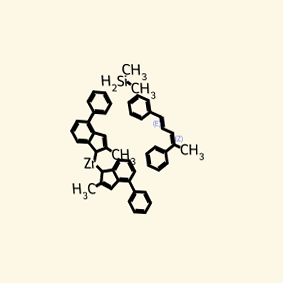 C/C(=C/C=C/c1ccccc1)c1ccccc1.CC1=Cc2c(-c3ccccc3)cccc2[CH]1[Zr][CH]1C(C)=Cc2c(-c3ccccc3)cccc21.C[SiH2]C